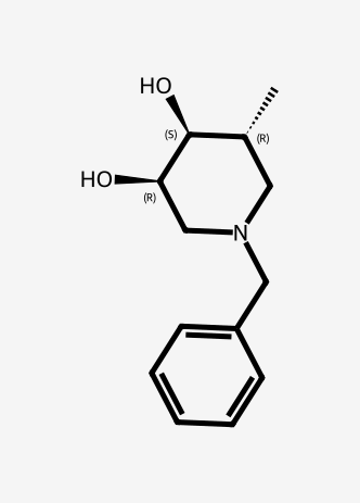 C[C@@H]1CN(Cc2ccccc2)C[C@@H](O)[C@H]1O